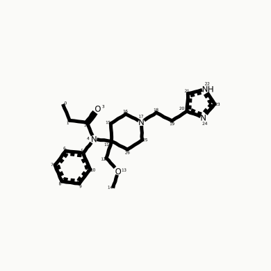 CCC(=O)N(c1ccccc1)C1(COC)CCN(CCc2c[nH]cn2)CC1